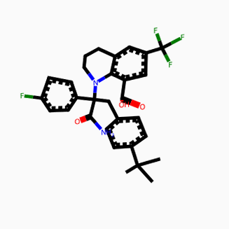 CC(C)(C)c1ccc(CC(C(N)=O)(c2ccc(F)cc2)N2CCCc3cc(C(F)(F)F)cc(C(=O)O)c32)cc1